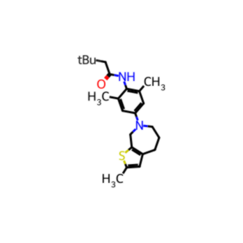 Cc1cc2c(s1)CN(c1cc(C)c(NC(=O)CC(C)(C)C)c(C)c1)CCC2